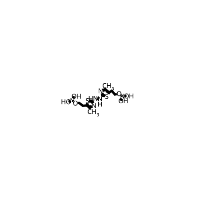 Cc1nc(NNc2nc(C)c(CCON(O)O)s2)sc1CCON(O)O